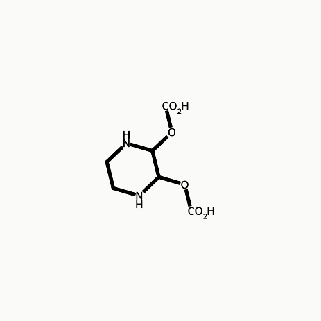 O=C(O)OC1NCCNC1OC(=O)O